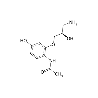 CC(=O)Nc1ccc(O)cc1OC[C@H](O)CN